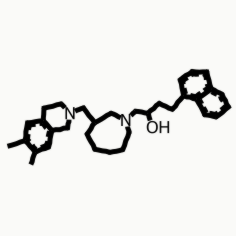 Cc1cc2c(cc1C)CN(CC1CCCCCN(CC(O)CCc3cccc4ccccc34)C1)CC2